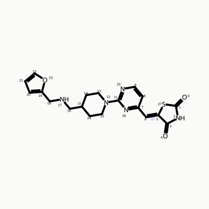 O=C1NC(=O)/C(=C/c2ccnc(N3CCC(CNCc4ccco4)CC3)n2)S1